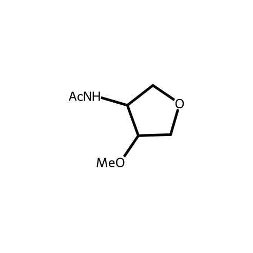 COC1COCC1NC(C)=O